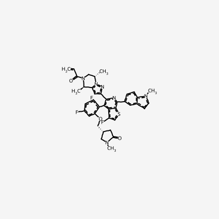 C=CC(=O)N1C[C@H](C)n2nc(-c3nc(-c4ccc5c(ccn5C)c4)c4scc(F)c4c3-c3c(F)cc(F)cc3OC[C@@H]3CC(=O)N(C)C3)cc2[C@H]1C